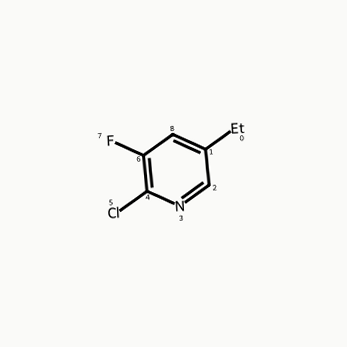 CCc1cnc(Cl)c(F)c1